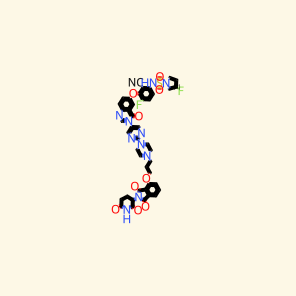 N#Cc1c(NS(=O)(=O)N2CC[C@@H](F)C2)ccc(F)c1Oc1ccc2ncn(-c3cnc(N4CCN(CCCOc5cccc6c5C(=O)N(C5CCC(=O)NC5=O)C6=O)CC4)nc3)c(=O)c2c1